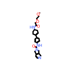 COCCOCC(=O)NC1CC=C(c2ccc(NC(=O)N3Cc4ccncc4C3)cc2)CC1